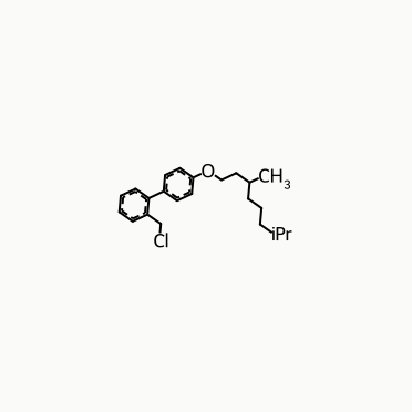 CC(C)CCCC(C)CCOc1ccc(-c2ccccc2CCl)cc1